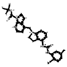 Cc1ccc(Br)c(NC(=O)Nc2cccc3c2CCN3Cc2ccnc3c2ccn3C(=O)OC(C)(C)C)c1